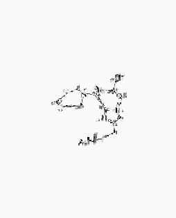 CC(=O)NCc1cn2cc(Br)nc(N3CCOCC3)c2n1